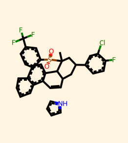 CC1(S(=O)(=O)c2cccc(C(F)(F)F)c2)CC(c2ccc(F)c(Cl)c2)CC2C=Cc3c(ccc4ccccc34)C21.c1cc[nH]c1